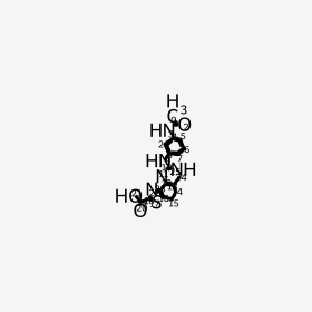 CC(=O)Nc1cccc(NC2=NC3=C(CCc4sc(C(=O)O)nc43)CN2)c1